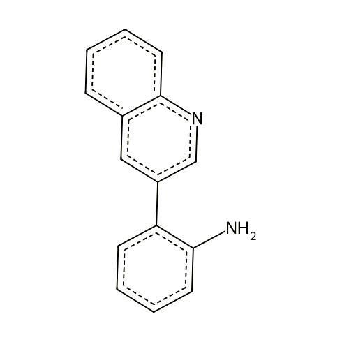 Nc1ccccc1-c1cnc2ccccc2c1